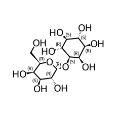 OC[C@H]1O[C@H](O[C@@H]2[C@H](O)[C@H](O)[C@@H](O)[C@H](O)[C@H]2O)[C@H](O)[C@@H](O)[C@H]1O